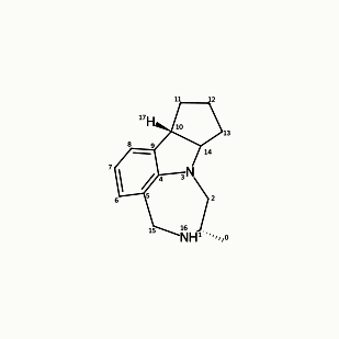 C[C@H]1CN2c3c(cccc3[C@@H]3CCCC32)CN1